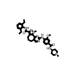 CCc1cccc(CC)c1NC(=O)c1nn(C)c2c1CCCc1cnc(Nc3ccc(C(=O)NC4CCN(C)CC4)cc3OC)nc1-2